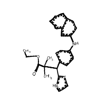 CCOC(=O)C(C)(C)C(c1ccc(Nc2ccc3ccccc3c2)cc1)c1ncc[nH]1